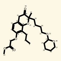 CCCc1c(OCC(=O)OC)ccc2c1OC(C)(CCCCOC1CCCCO1)C(=O)C2